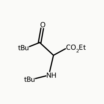 CCOC(=O)C(NC(C)(C)C)C(=O)C(C)(C)C